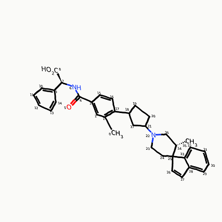 Cc1cc(C(=O)N[C@H](C(=O)O)c2ccccc2)ccc1C1CCC(N2CCC3(C=Cc4ccccc43)[C@@H](C)C2)C1